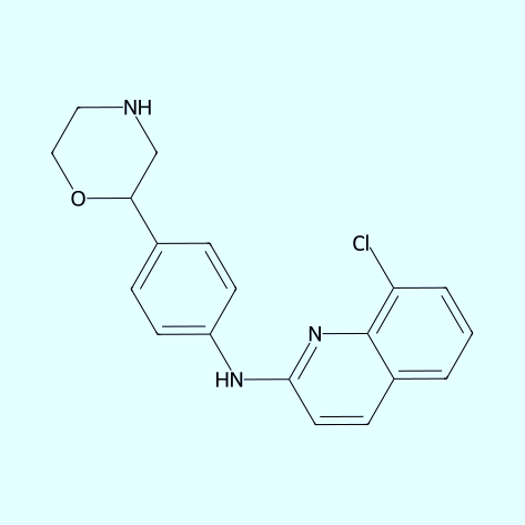 Clc1cccc2ccc(Nc3ccc(C4CNCCO4)cc3)nc12